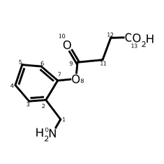 NCc1ccccc1OC(=O)CCC(=O)O